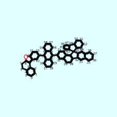 c1ccc2c(c1)CCc1oc3ccc(-c4c5ccccc5c(-c5ccc6c7c(ccc6c5)-c5cc6ccccc6cc5C75c6ccccc6-c6ccccc65)c5ccccc45)cc3c1-2